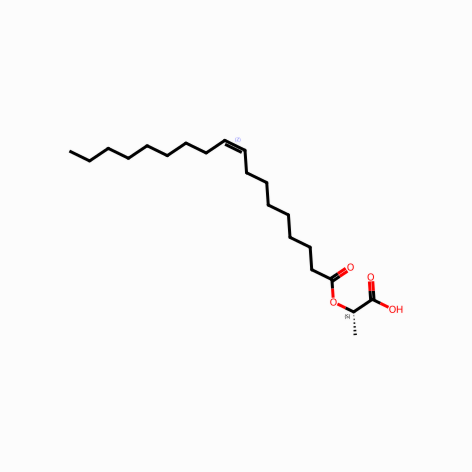 CCCCCCCC/C=C\CCCCCCCC(=O)O[C@@H](C)C(=O)O